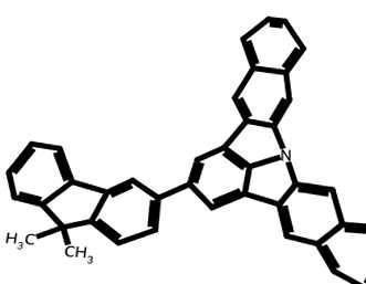 CC1(C)c2ccccc2-c2cc(-c3cc4c5cc6ccccc6cc5n5c6cc7ccccc7cc6c(c3)c45)ccc21